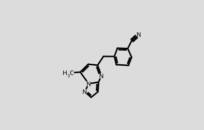 Cc1cc(Cc2cccc(C#N)c2)nc2ccnn12